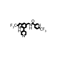 O=C(NCc1cc(C2=CC=NCC2)c2[nH]c(C(F)(F)F)cc2c1)c1ccc(C(F)(F)F)nc1